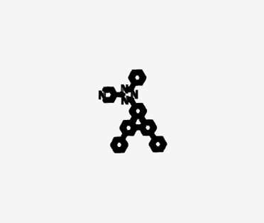 c1ccc(-c2ccc3c4ccc(-c5nc(-c6ccccc6)nc(-c6ccncc6)n5)cc4c4ccc(-c5ccccc5)cc4c3c2)cc1